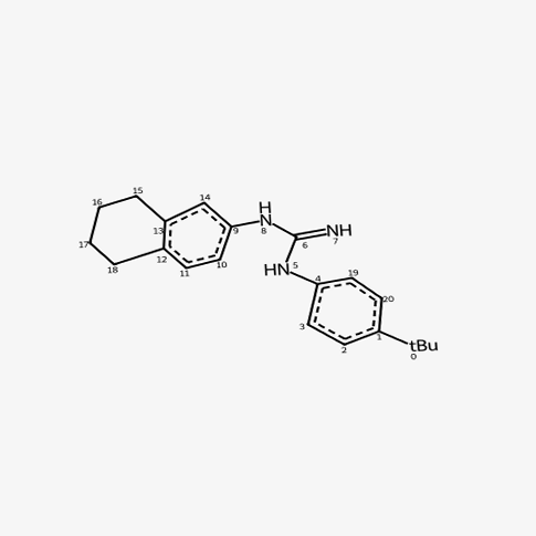 CC(C)(C)c1ccc(NC(=N)Nc2ccc3c(c2)CCCC3)cc1